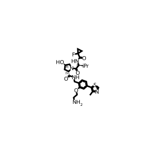 Cc1ncsc1-c1ccc(CNC(=O)[C@@H]2C[C@@H](O)CN2C(=O)[C@@H](NC(=O)C2(F)CC2)C(C)C)c(OCCN)c1